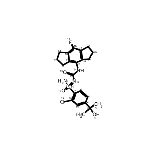 CC(C)(O)c1ccc([S@](N)(=O)=NC(=O)Nc2c3c(c(F)c4c2CCC4)CCC3)c(Cl)c1